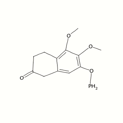 COc1c(OP)cc2c(c1OC)CCC(=O)C2